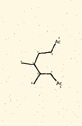 C[C](CCC(C)=O)C(C)CC(C)=O